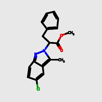 COC(=O)C(Cc1ccccc1)n1nc2ccc(Cl)cc2c1C